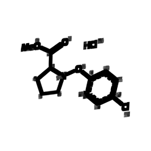 COC(=O)C1CCCN1Oc1ccc(Cl)cn1.Cl